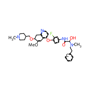 COC1=Cc2c(Oc3ccc(NC(=O)C(O)N(C)CCc4ccccc4)cc3F)ccnc2CC1OCC1CCN(C)CC1